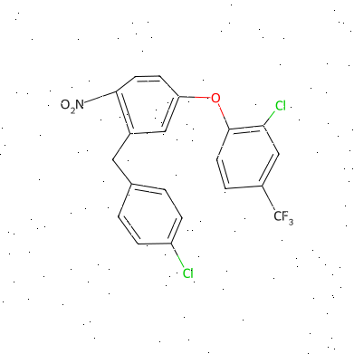 O=[N+]([O-])c1ccc(Oc2ccc(C(F)(F)F)cc2Cl)cc1Cc1ccc(Cl)cc1